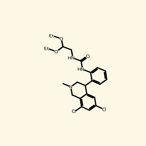 CCOC(CNC(=O)Nc1ccccc1C1CN(C)Cc2c(Cl)cc(Cl)cc21)OCC